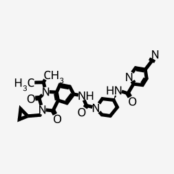 CC(C)n1c(=O)n(CC2CC2)c(=O)c2cc(NC(=O)N3CCC[C@@H](NC(=O)c4ccc(C#N)cn4)C3)ccc21